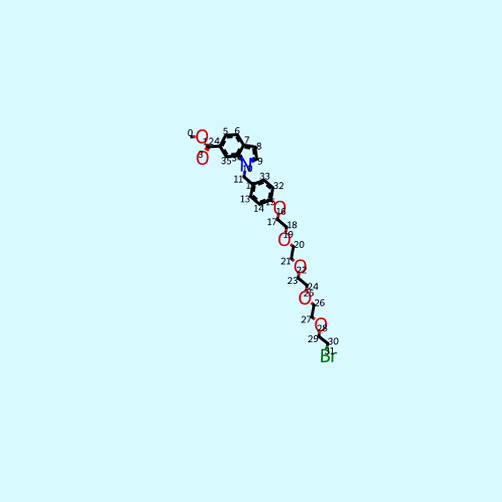 COC(=O)c1ccc2ccn(Cc3ccc(OCCOCCOCCOCCOCCBr)cc3)c2c1